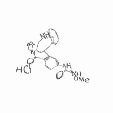 CONC(=O)Nc1ccc2c(=O)n(CC(C)C)c(CN)c(-c3ccccc3)c2c1.Cl